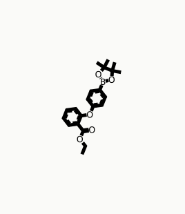 CCOC(=O)c1ccccc1Oc1ccc(B2OC(C)(C)C(C)(C)O2)cc1